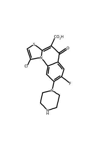 O=C(O)c1c(=O)c2cc(F)c(N3CCNCC3)cc2n2c(Cl)csc12